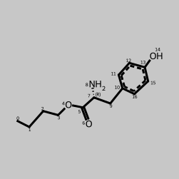 CCCCOC(=O)[C@H](N)Cc1ccc(O)cc1